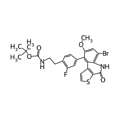 COc1cc(Br)c2[nH]c(=O)c3sccc3c2c1-c1ccc(CCNC(=O)OC(C)(C)C)c(F)c1